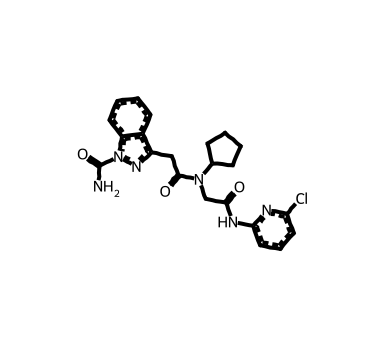 NC(=O)n1nc(CC(=O)N(CC(=O)Nc2cccc(Cl)n2)C2CCCC2)c2ccccc21